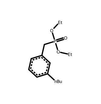 CCCCc1cccc(CP(=O)(OCC)OCC)c1